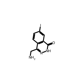 NCc1n[nH]c(=O)c2cc(I)ccc12